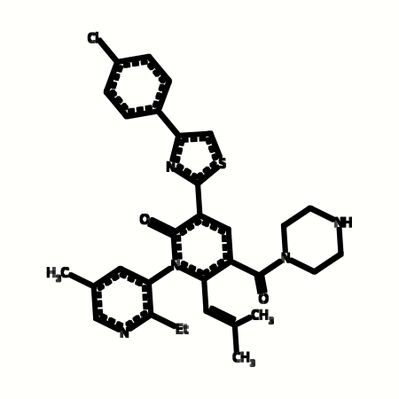 CCc1ncc(C)cc1-n1c(C=C(C)C)c(C(=O)N2CCNCC2)cc(-c2nc(-c3ccc(Cl)cc3)cs2)c1=O